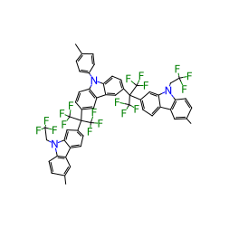 Cc1ccc(-n2c3ccc(C(c4ccc5c6cc(C)ccc6n(CC(F)(F)F)c5c4)(C(F)(F)F)C(F)(F)F)cc3c3cc(C(c4ccc5c6cc(C)ccc6n(CC(F)(F)F)c5c4)(C(F)(F)F)C(F)(F)F)ccc32)cc1